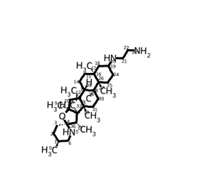 C[C@H]1CC[C@]2(NC1)O[C@@]1(C)C[C@@]3(C)[C@@H]4CC[C@@]5(C)CC(NCCN)CC[C@]5(C)[C@@]4(C)CC[C@]3(C)[C@@]1(C)[C@@H]2C